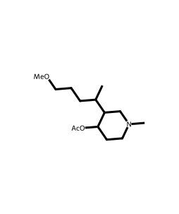 COCCCC(C)C1CN(C)CCC1OC(C)=O